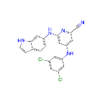 N#Cc1cc(Nc2cc(Cl)cc(Cl)c2)cc(Nc2ccc3cc[nH]c3c2)n1